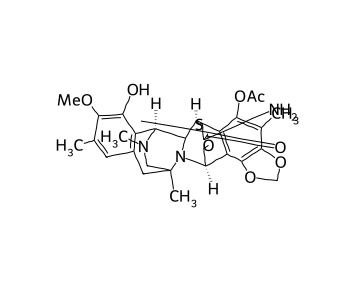 COc1c(C)cc2c(c1O)[C@H]1C3[C@@H]4SCC(N)C(=O)OC[C@@H](c5c6c(c(C)c(OC(C)=O)c54)OCO6)N3C(C)(C2)CN1C